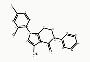 Cc1cn(-c2ccc(Cl)cc2Cl)c2c1C(=O)N(c1ccccc1)CC2